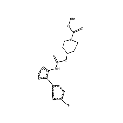 CC(C)(C)OC(=O)N1CCC(OC(=O)Nc2ccsc2-c2ccc(F)cc2)CC1